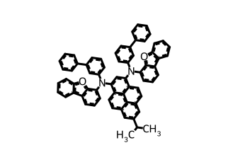 CC(C)c1cc2ccc3c(N(c4cccc(-c5ccccc5)c4)c4cccc5c4oc4ccccc45)cc(N(c4cccc(-c5ccccc5)c4)c4cccc5c4oc4ccccc45)c4ccc(c1)c2c34